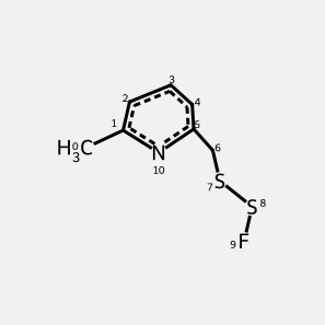 Cc1cccc(CSSF)n1